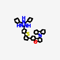 C1=c2sc3c(-c4ccc5c(c4)oc4cccc(-n6c7ccccc7c7ccccc76)c45)cccc3c2=CCC1C1NC(c2ccccc2)NC(c2ccccc2)N1